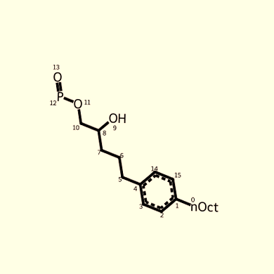 CCCCCCCCc1ccc(CCCC(O)COP=O)cc1